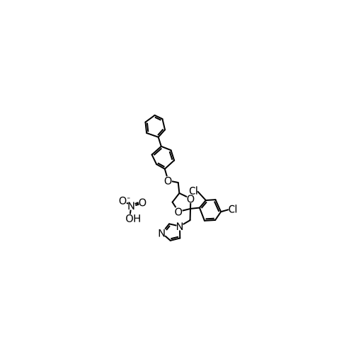 Clc1ccc(C2(Cn3ccnc3)OCC(COc3ccc(-c4ccccc4)cc3)O2)c(Cl)c1.O=[N+]([O-])O